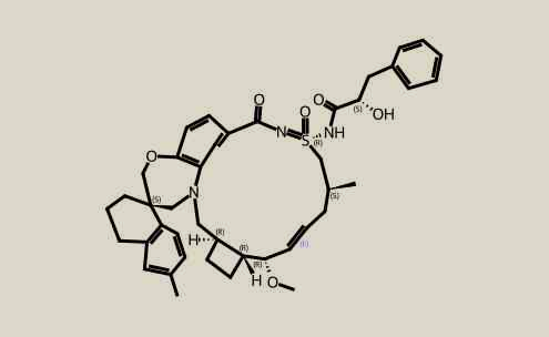 CO[C@H]1/C=C/C[C@H](C)C[S@@](=O)(NC(=O)[C@@H](O)Cc2ccccc2)=NC(=O)c2ccc3c(c2)N(C[C@@H]2CC[C@H]21)C[C@@]1(CCCc2cc(C)ccc21)CO3